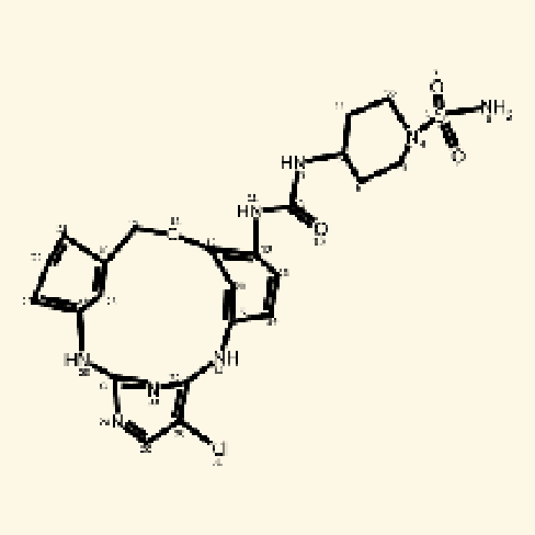 NS(=O)(=O)N1CCC(NC(=O)Nc2ccc3cc2CCc2cccc(c2)Nc2ncc(Cl)c(n2)N3)CC1